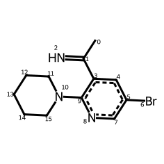 CC(=N)c1cc(Br)cnc1N1CCCCC1